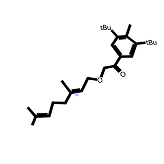 CC(C)=CCC/C(C)=C/COCC(=O)c1cc(C(C)(C)C)c(C)c(C(C)(C)C)c1